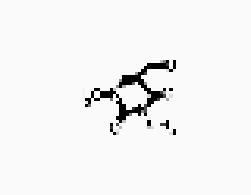 Cn1cc(C=O)c(=O)n(C)c1=O